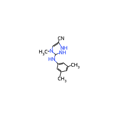 Cc1cc(C)cc(NC2NNC(C#N)=CN2C)c1